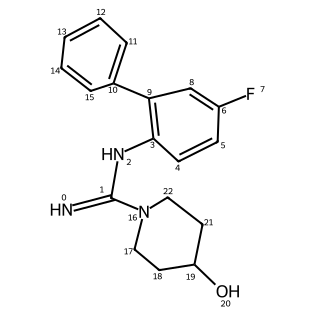 N=C(Nc1ccc(F)cc1-c1ccccc1)N1CCC(O)CC1